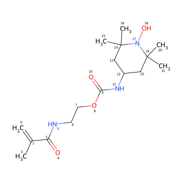 C=C(C)C(=O)NCCOC(=O)NC1CC(C)(C)N(O)C(C)(C)C1